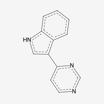 c1ccc2c(-c3ccncn3)c[nH]c2c1